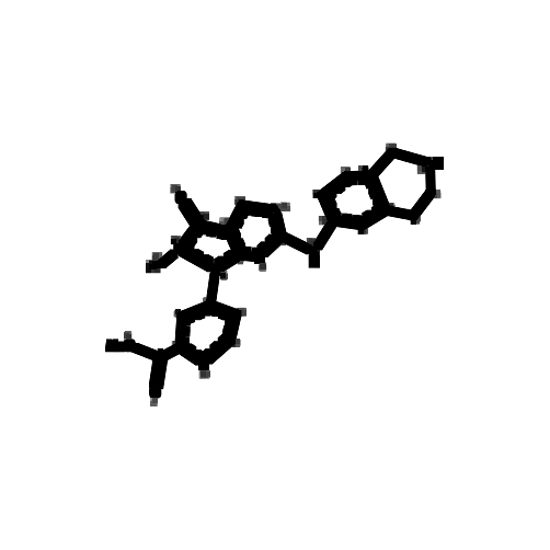 COC(=O)c1cc(-n2c3nc(Nc4ccc5c(c4)CCNC5)ncc3c(=O)n2C(C)C)ccn1